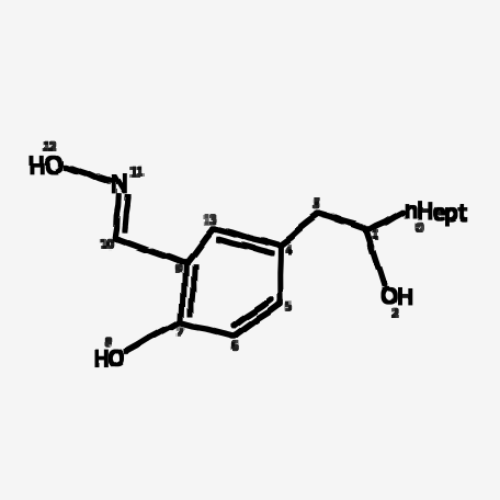 CCCCCCCC(O)Cc1ccc(O)c(C=NO)c1